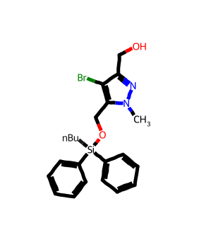 CCCC[Si](OCc1c(Br)c(CO)nn1C)(c1ccccc1)c1ccccc1